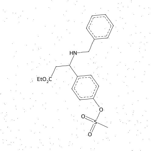 CCOC(=O)CC(NCc1ccccc1)c1ccc(OS(C)(=O)=O)cc1